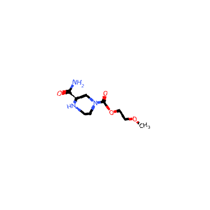 COCCOC(=O)N1CCN[C@@H](C(N)=O)C1